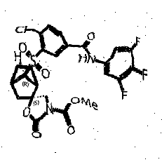 COC(=O)N1C[C@@]2(CC3CCC2[C@@H]3S(=O)(=O)c2cc(C(=O)Nc3cc(F)c(F)c(F)c3)ccc2Cl)OC1=O